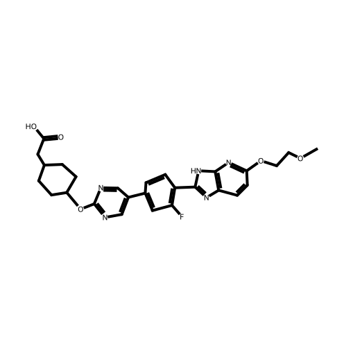 COCCOc1ccc2nc(-c3ccc(-c4cnc(OC5CCC(CC(=O)O)CC5)nc4)cc3F)[nH]c2n1